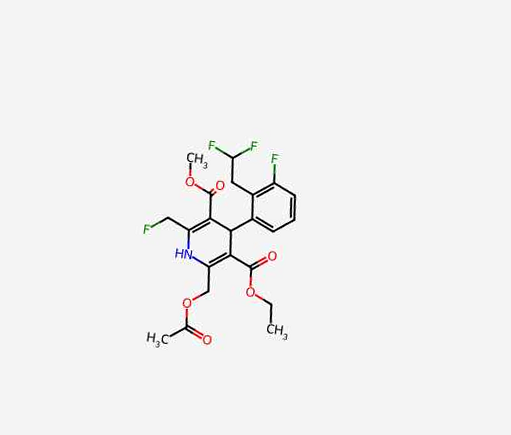 CCOC(=O)C1=C(COC(C)=O)NC(CF)=C(C(=O)OC)C1c1cccc(F)c1CC(F)F